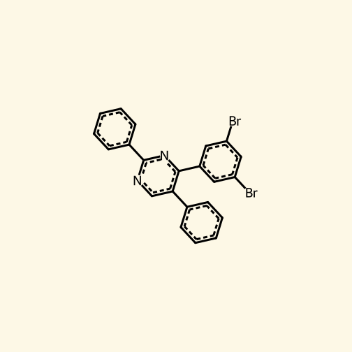 Brc1cc(Br)cc(-c2nc(-c3ccccc3)ncc2-c2ccccc2)c1